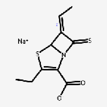 C/C=C1\C(=S)N2C(C(=O)[O-])=C(CC)SC12.[Na+]